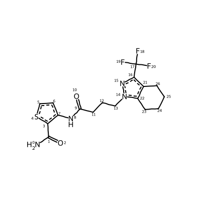 NC(=O)c1sccc1NC(=O)CCCn1nc(C(F)(F)F)c2c1CCCC2